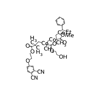 CC[CH]([Co][CH2][C](C)([Co][CH2][C](C)([Co][CH2]C(C)(C)C(=O)OCCOc1ccc(C#N)c(C#N)c1)C(=O)OCCO)C(=O)OC)c1ccccc1